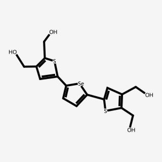 OCc1cc(-c2ccc(-c3cc(CO)c(CO)s3)[se]2)sc1CO